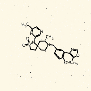 Cc1cncc(N2[C@@]3(CCN(Cc4ccc(O)c(-c5ncoc5C)c4)[C@@H](C)C3)CCS2(=O)=O)n1